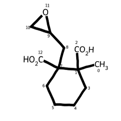 CC1(C(=O)O)CCCCC1(CC1CO1)C(=O)O